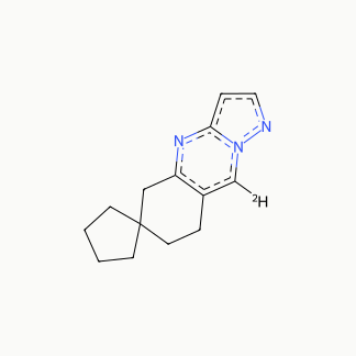 [2H]c1c2c(nc3ccnn13)CC1(CCCC1)CC2